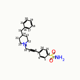 NS(=O)(=O)c1ccc(C#CCN2CCC(Cc3ccccc3)CC2)cc1